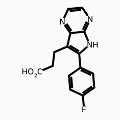 O=C(O)CCc1c(-c2ccc(F)cc2)[nH]c2nccnc12